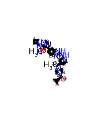 COc1c(NC2CCC2)ncnc1-c1ccc2nc(Nc3cc(C(C)N4CCN(C(=O)C5CC5)CC4)ccn3)[nH]c2c1